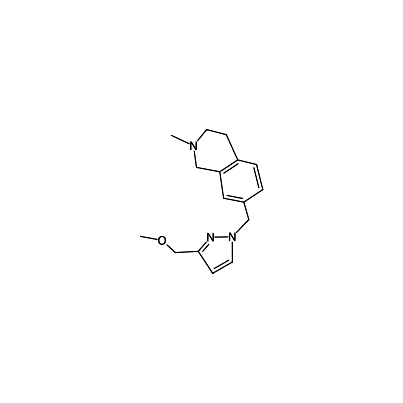 COCc1ccn(Cc2ccc3c(c2)CN(C)CC3)n1